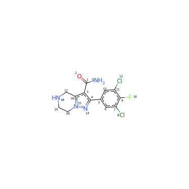 NC(=O)c1c(-c2cc(Cl)c(F)c(Cl)c2)nn2c1CNCC2